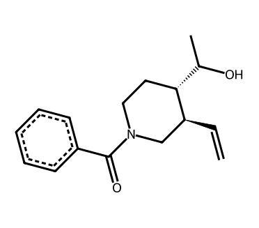 C=C[C@H]1CN(C(=O)c2ccccc2)CC[C@@H]1C(C)O